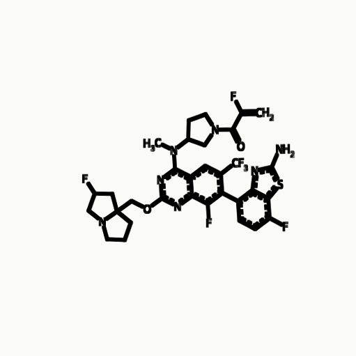 C=C(F)C(=O)N1CCC(N(C)c2nc(OCC34CCCN3CC(F)C4)nc3c(F)c(-c4ccc(F)c5sc(N)nc45)c(C(F)(F)F)cc23)C1